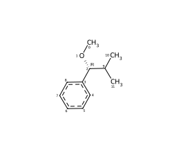 CO[C@@H](c1ccccc1)C(C)C